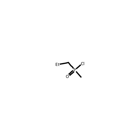 CCCP(C)(=O)Cl